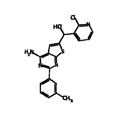 Cc1cccc(-c2nc(N)c3cc(C(O)c4cccnc4Cl)sc3n2)c1